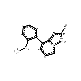 COc1ccccc1-c1cccn2nc(Cl)nc12